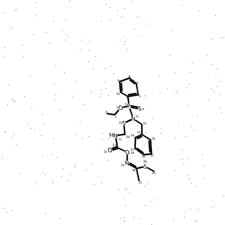 CCOP(=S)(c1ccccc1)N(Cc1ccccc1)SCNC(=O)ON=C(C)SC